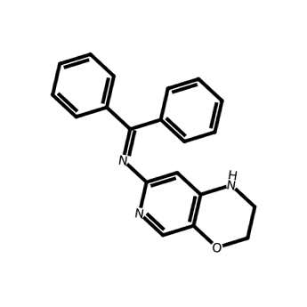 c1ccc(C(=Nc2cc3c(cn2)OCCN3)c2ccccc2)cc1